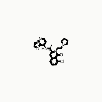 C[C@H](Nc1ccnn2ccnc12)c1cc2cccc(Cl)c2c(=O)n1CCN1CCCC1